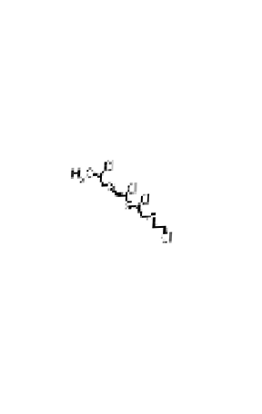 CC(Cl)CSCC(Cl)SC(Cl)CSCCCl